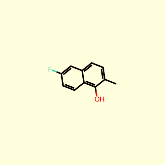 Cc1ccc2cc(F)ccc2c1O